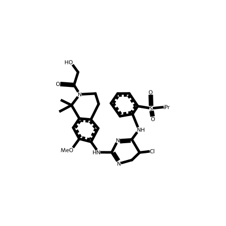 COc1cc2c(cc1NC1=NCC(Cl)C(Nc3ccccc3S(=O)(=O)C(C)C)=N1)CCN(C(=O)CO)C2(C)C